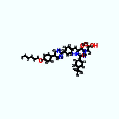 CCCCCCOc1ccc(-c2cnc(-c3ccc(C[C@H](NC(=O)c4ccc(C(C)(C)C)cc4)C(=O)N[C@H](C)C(=O)O)cc3)nc2)cc1